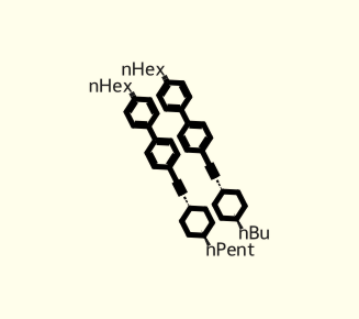 CCCCCCc1ccc(-c2ccc(C#C[C@H]3CC[C@H](CCCC)CC3)cc2)cc1.CCCCCCc1ccc(-c2ccc(C#C[C@H]3CC[C@H](CCCCC)CC3)cc2)cc1